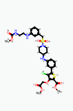 CC(C)(C)OC(=O)COc1c(C(=O)OC(C)(C)C)sc(-c2cccc(NC3CCN(S(=O)(=O)Cc4cccc(NCCNC(=O)OC(C)(C)C)c4)CC3)c2)c1Cl